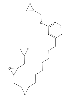 c1cc(CCCCCCCC2OC2CC2OC2CC2CO2)cc(OCC2CO2)c1